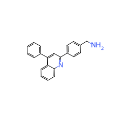 NCc1ccc(-c2cc(-c3ccccc3)c3ccccc3n2)cc1